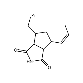 C/C=C\C1CC(CC(C)C)C2C(=O)NC(=O)C12